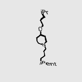 CCCC(C)CCCCN1CCC(OCCCC(C)C)CC1